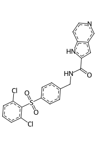 O=C(NCc1ccc(S(=O)(=O)c2c(Cl)cccc2Cl)cc1)c1cc2cnccc2[nH]1